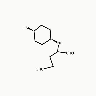 O=CCCC(C=O)N[C@H]1CC[C@@H](O)CC1